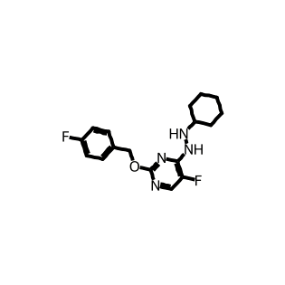 Fc1ccc(COc2ncc(F)c(NNC3CCCCC3)n2)cc1